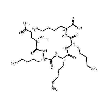 NCCCC[C@H](NC(=O)[C@H](CCCCN)NC(=O)[C@H](CCCCN)NC(=O)[C@H](CCCCN)NC(=O)[C@@H](N)CCC(N)=O)C(=O)O